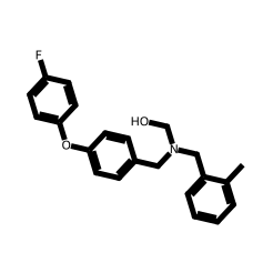 Cc1ccccc1CN(CO)Cc1ccc(Oc2ccc(F)cc2)cc1